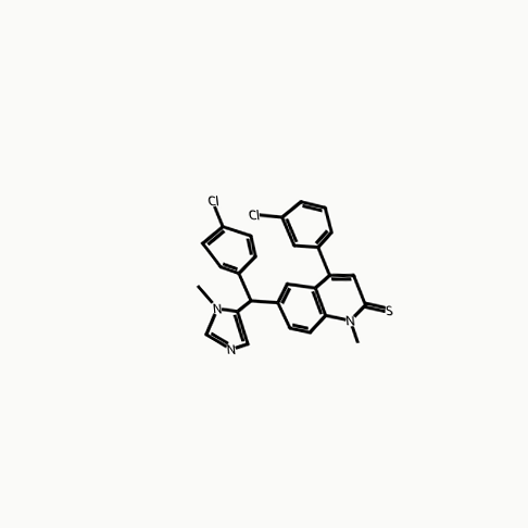 Cn1cncc1C(c1ccc(Cl)cc1)c1ccc2c(c1)c(-c1cccc(Cl)c1)cc(=S)n2C